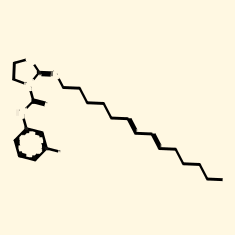 CCCCC/C=C/C=C/CCCCC/N=C1/SCCN1C(=S)Nc1cccc(F)c1